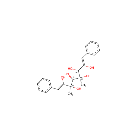 C[C@@](O)([C@H](O)C(O)=Cc1ccccc1)[C@H](O)[C@@](C)(O)C(O)=Cc1ccccc1